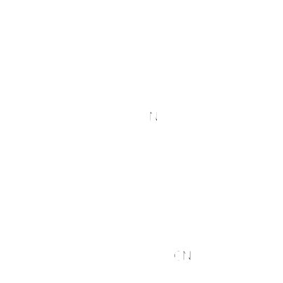 C=CC#N.C=Cc1ccccc1.C=Cc1ccccn1